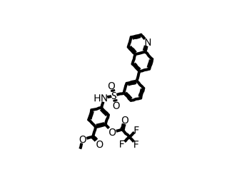 COC(=O)c1ccc(NS(=O)(=O)c2cccc(-c3ccc4ncccc4c3)c2)cc1OC(=O)C(F)(F)F